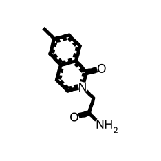 Cc1ccc2c(=O)n(CC(N)=O)ccc2c1